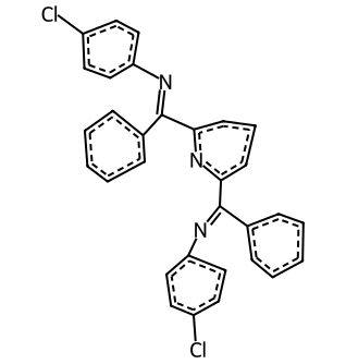 Clc1ccc(/N=C(\c2ccccc2)c2cccc(/C(=N/c3ccc(Cl)cc3)c3ccccc3)n2)cc1